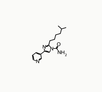 CC(C)CCCCc1nc(-c2cccnc2)cn1C(N)=O